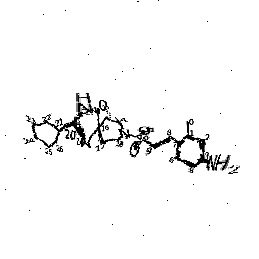 Cc1cc(N)ccc1/C=C/S(=O)(=O)N1CCC2(CC1)N=C(C1CCCCC1)NC2=O